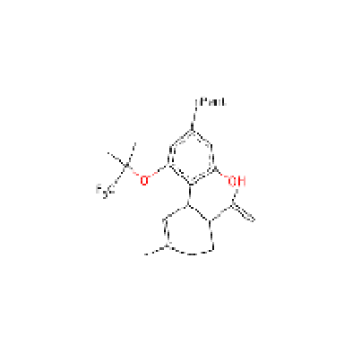 C=C(C)C1CCC(C)=CC1c1c(O)cc(CCCCC)cc1OC(C)(C)C(F)(F)F